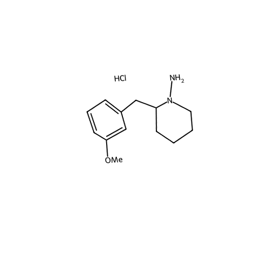 COc1cccc(CC2CCCCN2N)c1.Cl